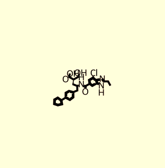 CCc1nc2c(Cl)cc(C(=O)NC(Cc3ccc(-c4ccccc4)cc3)C[C@H](CO)C(=O)O)cc2[nH]1